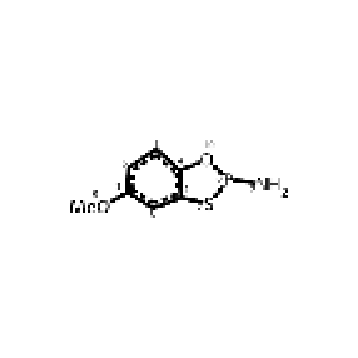 COc1ccc2c(c1)SP(N)O2